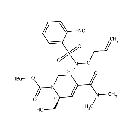 C=CCON([C@H]1CN(C(=O)OC(C)(C)C)[C@H](CO)C=C1C(=O)N(C)C)S(=O)(=O)c1ccccc1[N+](=O)[O-]